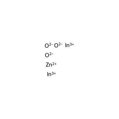 [In+3].[In+3].[O-2].[O-2].[O-2].[Zn+2]